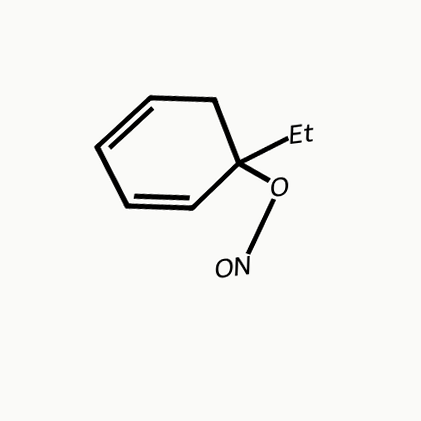 CCC1(ON=O)C=CC=CC1